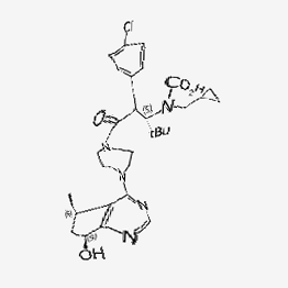 C[C@@H]1C[C@H](O)c2ncnc(N3CCN(C(=O)C(c4ccc(Cl)cc4)[C@H](N(CC4CC4)C(=O)O)C(C)(C)C)CC3)c21